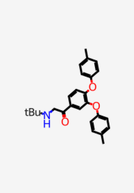 Cc1ccc(Oc2ccc(C(=O)CNC(C)(C)C)cc2Oc2ccc(C)cc2)cc1